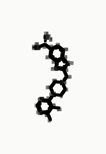 Cc1ncnc(N2CCN(Cc3nc4ccc([C@H](O)C(F)(F)F)cc4o3)CC2)c1C